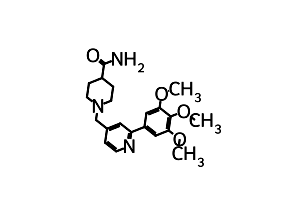 COc1cc(-c2cc(CN3CCC(C(N)=O)CC3)ccn2)cc(OC)c1OC